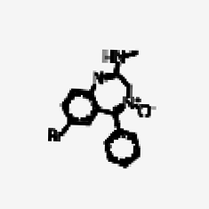 CNC1=Nc2ccc(Br)cc2C(c2ccccc2)=[N+]([O-])C1